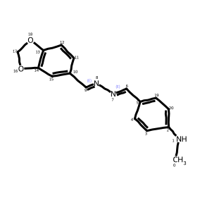 CNc1ccc(/C=N/N=C/c2ccc3c(c2)OCO3)cc1